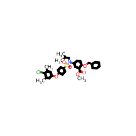 COC(=O)c1cc(N(CC(C)C)S(=O)(=O)c2ccc(Oc3cc(C)c(Cl)c(C)c3)cc2)ccc1OCc1ccccc1